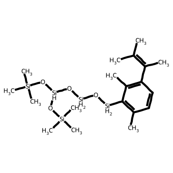 CC(C)=C(C)c1ccc(C)c([SiH2]O[SiH2]O[SiH](O[Si](C)(C)C)O[Si](C)(C)C)c1C